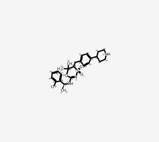 C[C@H](NC1=NS(=O)(=O)C(Cc2ccc(C3CCNCC3)cc2)C(C)(C)O1)c1ccccc1Cl